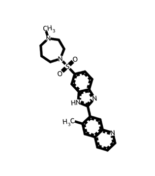 Cc1cc2cccnc2cc1-c1nc2ccc(S(=O)(=O)N3CCCN(C)CC3)cc2[nH]1